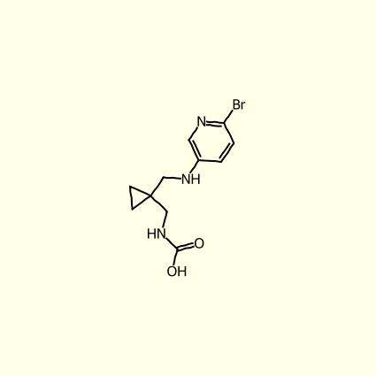 O=C(O)NCC1(CNc2ccc(Br)nc2)CC1